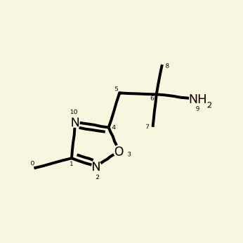 Cc1noc(CC(C)(C)N)n1